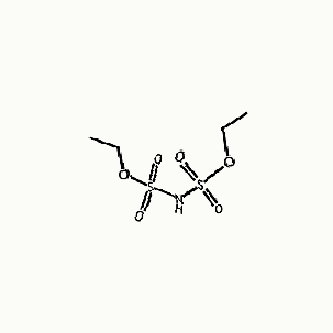 CCOS(=O)(=O)NS(=O)(=O)OCC